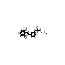 NCC(F)(F)Cc1cccc(C=Cc2c(Cl)cccc2Cl)c1